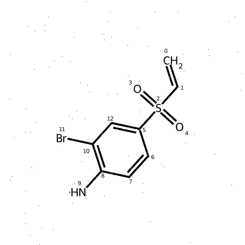 C=CS(=O)(=O)c1ccc([NH])c(Br)c1